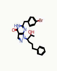 CC(O)C(CCCc1ccccc1)n1ncc2c(=O)[nH]c(Cc3ccc(Br)cc3)nc21